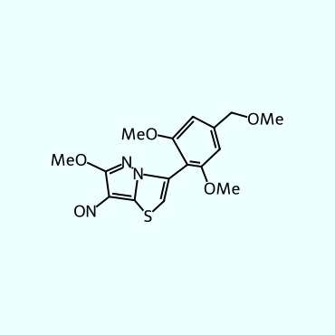 COCc1cc(OC)c(-c2csc3c(N=O)c(OC)nn23)c(OC)c1